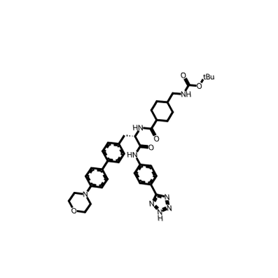 CC(C)(C)OC(=O)NCC1CCC(C(=O)N[C@@H](Cc2ccc(-c3ccc(N4CCOCC4)cc3)cc2)C(=O)Nc2ccc(-c3nn[nH]n3)cc2)CC1